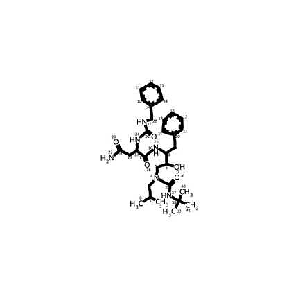 CC(C)CN(CC(O)C(Cc1ccccc1)NC(=O)C(CC(N)=O)NC(=O)NCc1ccccc1)C(=O)NC(C)(C)C